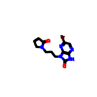 O=C1CCCN1CCCn1c(=O)[nH]c2ncc(Br)nc21